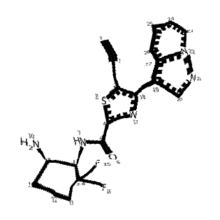 C#Cc1sc(C(=O)N[C@@H]2[C@H](N)CCCC2(F)F)nc1-c1cnn2ccccc12